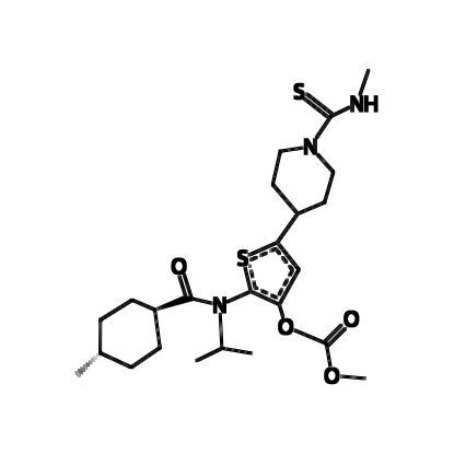 CNC(=S)N1CCC(c2cc(OC(=O)OC)c(N(C(=O)[C@H]3CC[C@H](C)CC3)C(C)C)s2)CC1